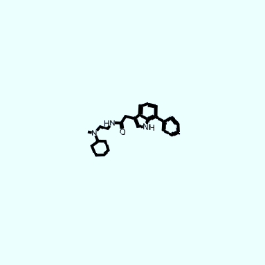 CN(CCNC(=O)Cc1c[nH]c2c(-c3ccccc3)cccc12)C1CCCCC1